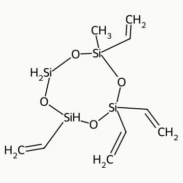 C=C[SiH]1O[SiH2]O[Si](C)(C=C)O[Si](C=C)(C=C)O1